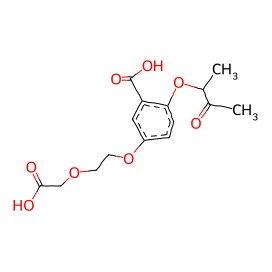 CC(=O)C(C)Oc1ccc(OCCOCC(=O)O)cc1C(=O)O